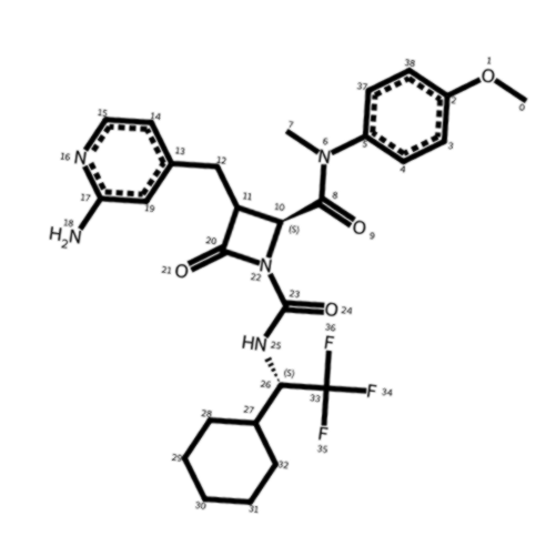 COc1ccc(N(C)C(=O)[C@@H]2C(Cc3ccnc(N)c3)C(=O)N2C(=O)N[C@@H](C2CCCCC2)C(F)(F)F)cc1